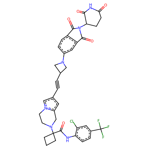 O=C1CCC(N2C(=O)c3ccc(N4CC(C#Cc5cc6n(c5)CCN(C5(C(=O)Nc7ccc(C(F)(F)F)cc7Cl)CCC5)C6)C4)cc3C2=O)C(=O)N1